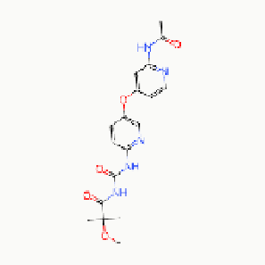 COC(C)(C)C(=O)NC(=O)Nc1ccc(Oc2ccnc(NC(C)=O)c2)cn1